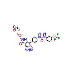 COCCOCNC(=O)c1cc(-c2ccc(NC(=O)Nc3cccc(OC(F)(F)F)c3)cc2)c2cn[nH]c2c1